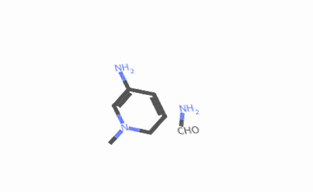 CN1C=C(N)C=CC1.NC=O